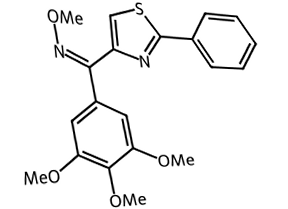 CON=C(c1cc(OC)c(OC)c(OC)c1)c1csc(-c2ccccc2)n1